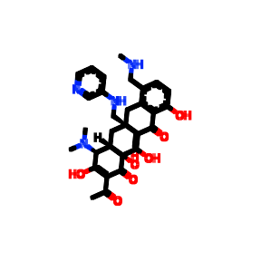 CNCc1ccc(O)c2c1C[C@@]1(CNc3cccnc3)C[C@H]3[C@H](N(C)C)C(O)=C(C(C)=O)C(=O)[C@@]3(O)C(O)=C1C2=O